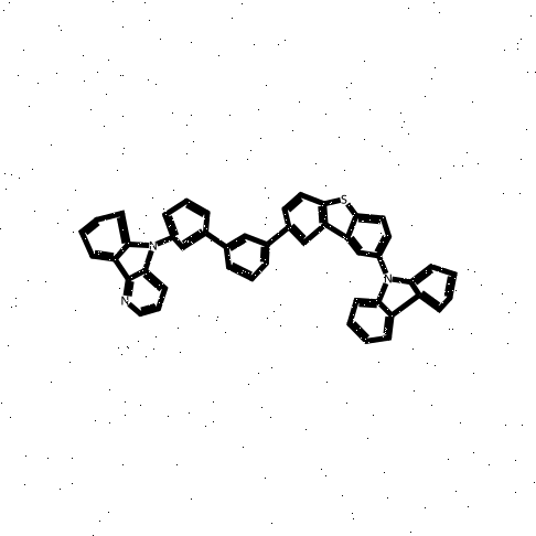 c1cc(-c2cccc(-n3c4ccccc4c4ncccc43)c2)cc(-c2ccc3sc4ccc(-n5c6ccccc6c6ccccc65)cc4c3c2)c1